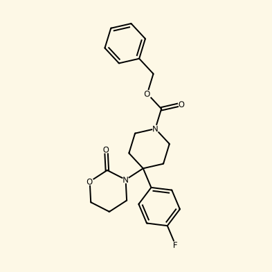 O=C(OCc1ccccc1)N1CCC(c2ccc(F)cc2)(N2CCCOC2=O)CC1